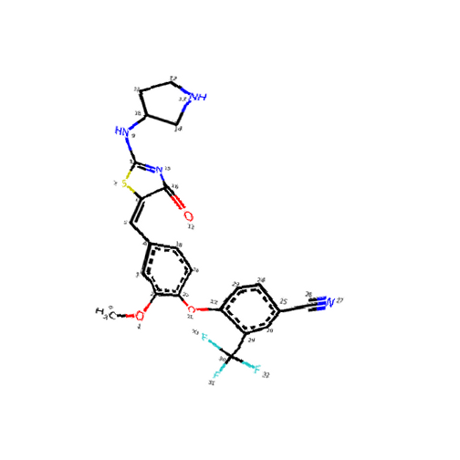 COc1cc(C=C2SC(NC3CCNC3)=NC2=O)ccc1Oc1ccc(C#N)cc1C(F)(F)F